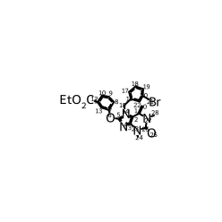 C=C1c2c(nc(Oc3cccc(C(=O)OCC)c3)n2Cc2cccc(Br)c2)N(C)C(=O)N1C